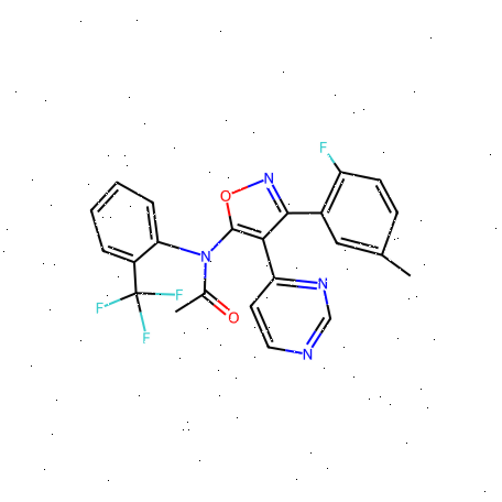 CC(=O)N(c1ccccc1C(F)(F)F)c1onc(-c2cc(C)ccc2F)c1-c1ccncn1